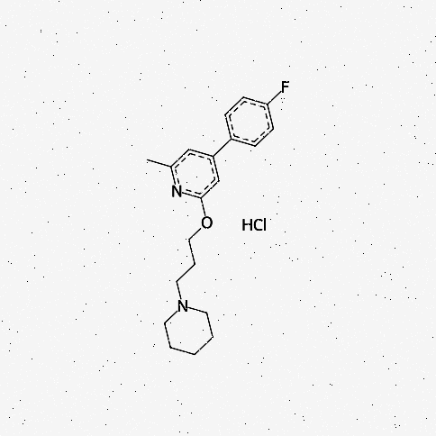 Cc1cc(-c2ccc(F)cc2)cc(OCCCN2CCCCC2)n1.Cl